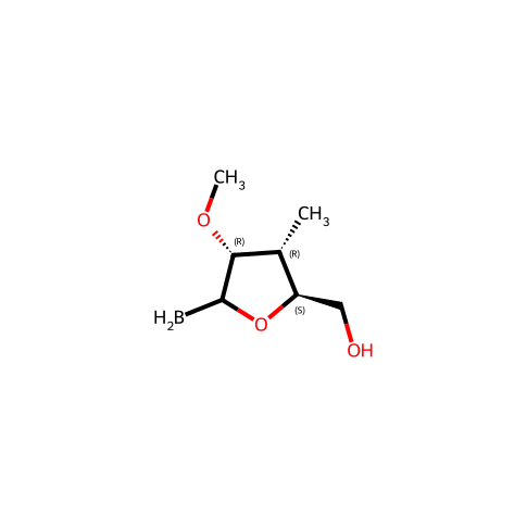 BC1O[C@H](CO)[C@@H](C)[C@H]1OC